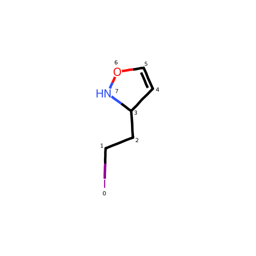 ICCC1C=CON1